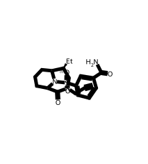 C#CCN1C[C@H](CC)C2CCCC(C1=O)N2S(=O)(=O)c1cccc(C(N)=O)c1